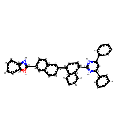 c1ccc(-c2cc(-c3ccccc3)nc(-c3ccc(-c4ccc5cc(-c6nc7ccccc7o6)ccc5c4)c4ccccc34)n2)cc1